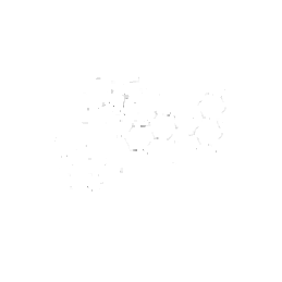 Cc1c(F)ccc2cccc(-c3nc4c5c(nc(OC[C@@]67CCCN6C[C@@]6(CC6(F)F)C7)nc5c3F)N3C[C@H]5CC[C@H](N5)[C@@H]3[C@@H](C)C4)c12